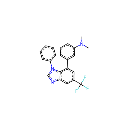 CN(C)c1cccc(-c2cc(C(F)(F)F)cc3ncn(-c4ccccc4)c23)c1